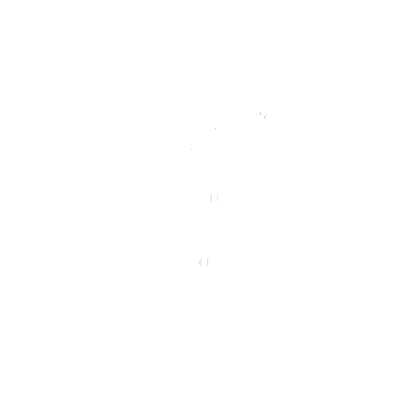 CC(C)(C)c1ccc(CC(C)(C)c2cccc([N+](=O)[O-])c2Cl)c(Cl)c1O